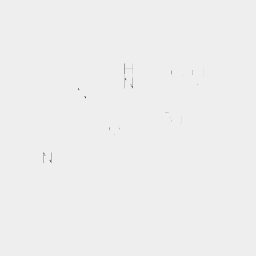 CCC(C)[C@H](NC(=O)N(C)Cc1ccccn1)C(=O)O